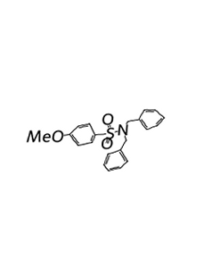 COc1ccc(S(=O)(=O)N(Cc2ccccc2)Cc2ccccc2)cc1